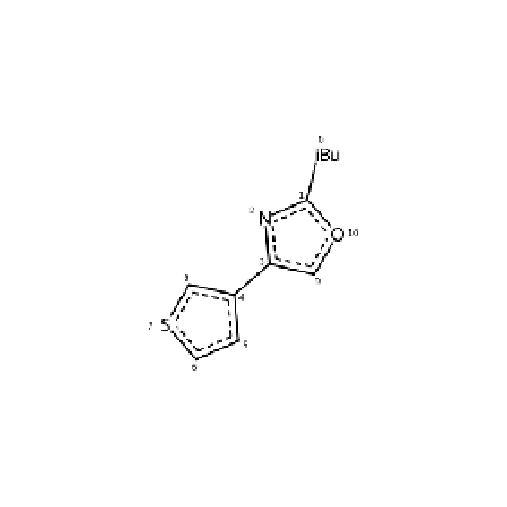 CCC(C)c1nc(-c2ccsc2)co1